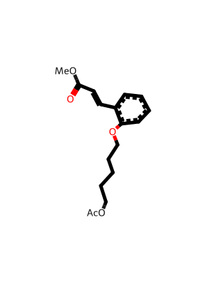 COC(=O)C=Cc1ccccc1OCCCCCOC(C)=O